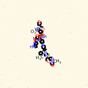 Cc1ccccc1[C@@H]1CN([C@H]2CCOc3c(N4CCOC[C@@H]4C)ncc(F)c32)CCN1C1CC2(CCN(c3ccc(C(=O)NS(=O)(=O)c4cc5c(c([N+](=O)[O-])c4)N[C@H](C4CCOCC4)CO5)c(N4c5cc6cc[nH]c6nc5O[C@H]5COCC[C@@H]54)c3)CC2)C1